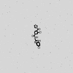 O=C(NCc1nc2cc(Cl)ccc2[nH]1)C1C=C(Cl)C(C(=O)N2CCSC2)=CC1